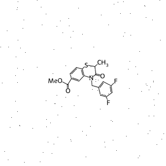 COC(=O)c1ccc2c(c1)N(Cc1cc(F)cc(F)c1)C(=O)C(C)S2